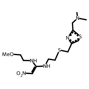 COCCNC(=C[N+](=O)[O-])NCCSCc1csc(CN(C)C)n1